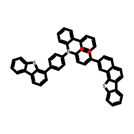 c1ccc(-c2ccccc2N(c2ccc(-c3ccc4ccc5c6ccccc6sc5c4c3)cc2)c2ccc(-c3cccc4c3sc3ccccc34)cc2)cc1